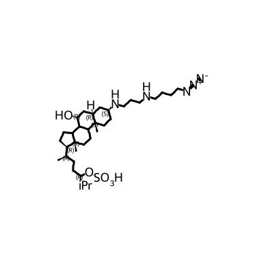 CC(C)[C@@H](CC[C@@H](C)[C@H]1CCC2C3C(CC[C@@]21C)[C@@]1(C)CC[C@H](NCCCNCCCCN=[N+]=[N-])C[C@@H]1C[C@H]3O)OS(=O)(=O)O